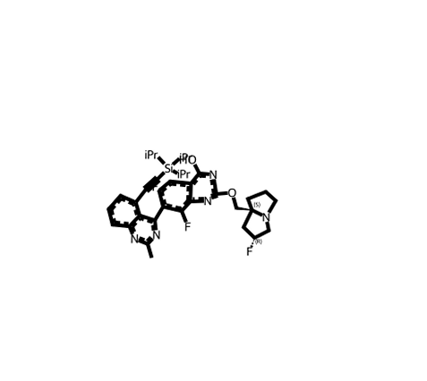 Cc1nc(-c2c(F)cc3c(O)nc(OC[C@@]45CCCN4C[C@H](F)C5)nc3c2F)c2c(C#C[Si](C(C)C)(C(C)C)C(C)C)cccc2n1